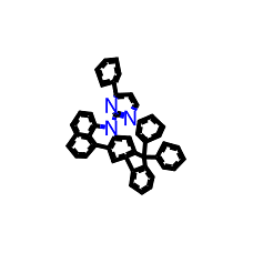 c1ccc(-c2ccnc(N3c4cc5c(cc4-c4cccc6cccc3c46)-c3ccccc3C5(c3ccccc3)c3ccccc3)n2)cc1